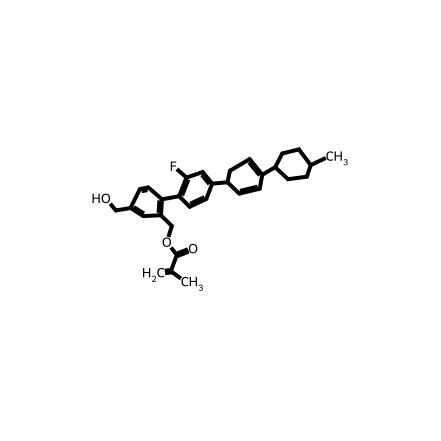 C=C(C)C(=O)OCc1cc(CO)ccc1-c1ccc(C2C=CC(C3CCC(C)CC3)=CC2)cc1F